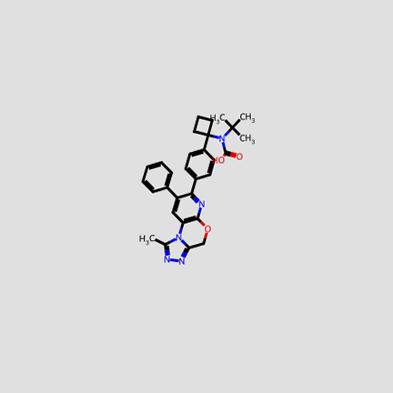 Cc1nnc2n1-c1cc(-c3ccccc3)c(-c3ccc(C4(N(C(=O)O)C(C)(C)C)CCC4)cc3)nc1OC2